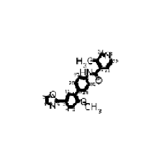 COc1ccc(-c2ncco2)cc1-c1ccc(NC(=O)c2ccncc2C)cc1